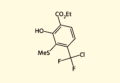 CCOC(=O)c1ccc(C(F)(F)Cl)c(SC)c1O